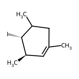 CC1=C[C@@H](C)[C@H](I)C(C)C1